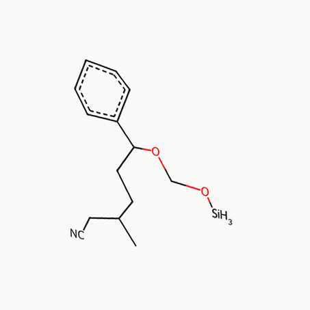 CC(CC#N)CCC(OCO[SiH3])c1ccccc1